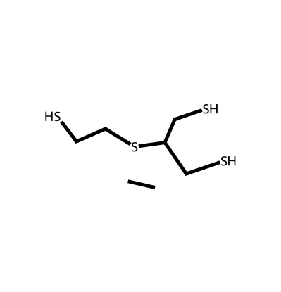 CC.SCCSC(CS)CS